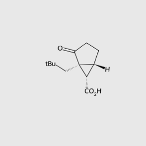 CC(C)(C)C[C@]12C(=O)CC[C@@H]1[C@@H]2C(=O)O